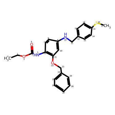 CCOC(=O)Nc1ccc(NCc2ccc(SC)cc2)cc1OCc1ccccc1